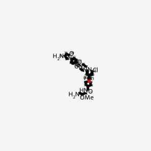 COC(CN)CNC(=O)C1CCC(C(F)(F)c2cc(Cl)nc(N3CCN(S(=O)(=O)c4ccc(N5C[C@H](N)CC5=O)cc4)CC3)c2)CC1